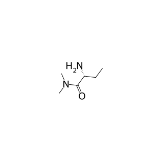 CC[C@@H](N)C(=O)N(C)C